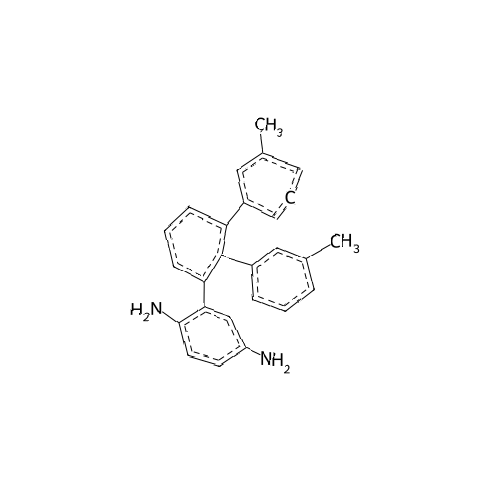 Cc1cccc(-c2cccc(-c3cc(N)ccc3N)c2-c2cccc(C)c2)c1